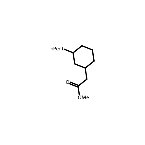 CCCCCC1CCCC(CC(=O)OC)C1